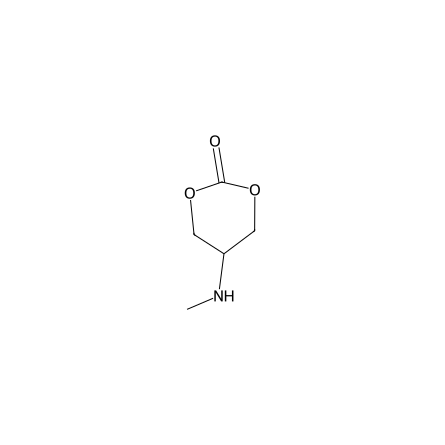 CNC1COC(=O)OC1